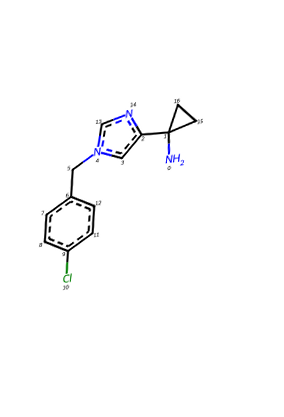 NC1(c2cn(Cc3ccc(Cl)cc3)cn2)CC1